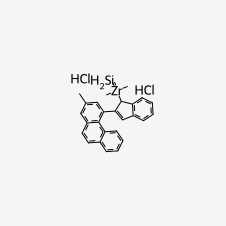 Cc1cc(C2=Cc3ccccc3[CH]2[Zr]([CH3])([CH3])=[SiH2])c2c(ccc3ccccc32)c1.Cl.Cl